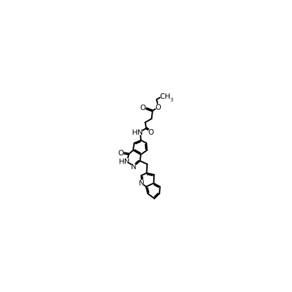 CCOC(=O)CCC(=O)Nc1ccc2c(Cc3cnc4ccccc4c3)n[nH]c(=O)c2c1